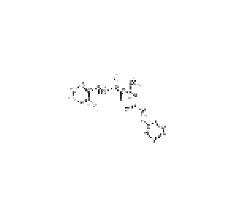 O=C(/C=C/c1ccccc1)NC(NC(=[Se])NCc1ccccc1Cl)C(Cl)(Cl)Cl